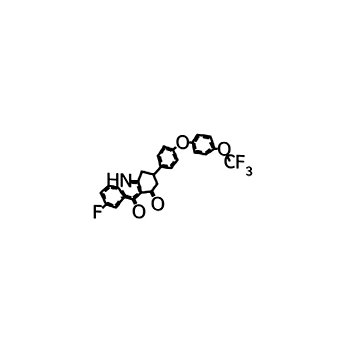 O=C1CC(c2ccc(Oc3ccc(OC(F)(F)F)cc3)cc2)Cc2[nH]c3ccc(F)cc3c(=O)c21